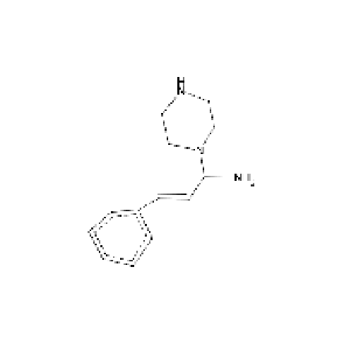 NC(C=Cc1ccccc1)N1CCNCC1